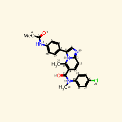 COC(=O)Nc1ccc(-c2cnc3ccc(C(=O)N(C)c4ccc(Cl)cc4)c(C)n23)cc1